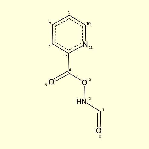 O=CNOC(=O)c1ccccn1